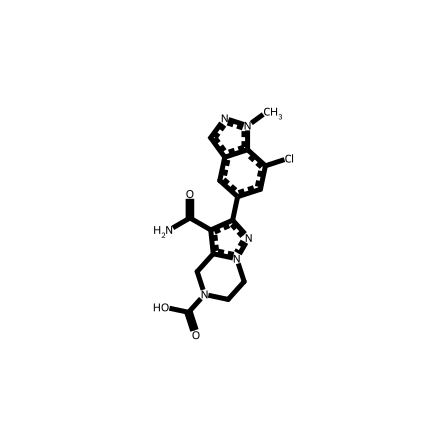 Cn1ncc2cc(-c3nn4c(c3C(N)=O)CN(C(=O)O)CC4)cc(Cl)c21